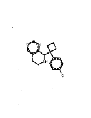 Clc1ccc(C2(C3NCCc4cncnc43)CCC2)cc1